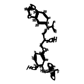 CC(C)N(CC(O)COc1ccc(O)c(NS(C)(=O)=O)c1)c1ccc2c(c1)OCO2